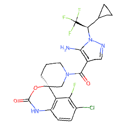 Nc1c(C(=O)N2CCC[C@@]3(C2)OC(=O)Nc2ccc(Cl)c(F)c23)cnn1[C@H](C1CC1)C(F)(F)F